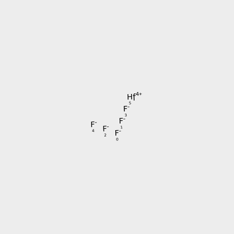 [F-].[F-].[F-].[F-].[F-].[Hf+4]